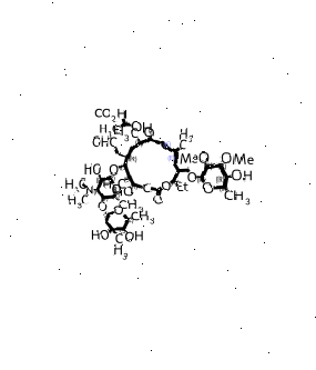 CC(O)C(=O)O.CC[C@H]1OC(=O)C[C@@H](O)[C@H](C)[C@@H](O[C@@H]2O[C@H](C)[C@@H](O[C@H]3C[C@@](C)(O)[C@@H](O)[C@H](C)O3)[C@H](N(C)C)[C@H]2O)[C@@H](CC=O)C[C@@H](C)C(=O)/C=C/C(C)=C/C1CO[C@@H]1O[C@H](C)[C@@H](O)[C@@H](OC)[C@H]1OC